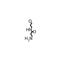 NCCC(=O)NCC[C]=O